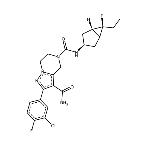 CC[C@]1(F)C2C[C@@H](NC(=O)N3CCn4nc(-c5ccc(F)c(Cl)c5)c(C(N)=O)c4C3)C[C@@H]21